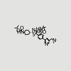 CC(C)OC(=O)N[C@H]1CC[C@H](c2ncc(-c3ccc(-c4cncc(CN(C)C)c4)cc3S(=O)(=O)NC(C)(C)C)s2)CC1